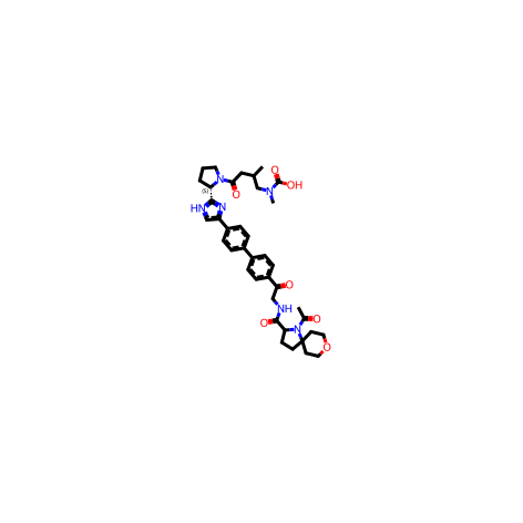 CC(=O)N1C(C(=O)NCC(=O)c2ccc(-c3ccc(-c4c[nH]c([C@@H]5CCCN5C(=O)CC(C)CN(C)C(=O)O)n4)cc3)cc2)CCC12CCOCC2